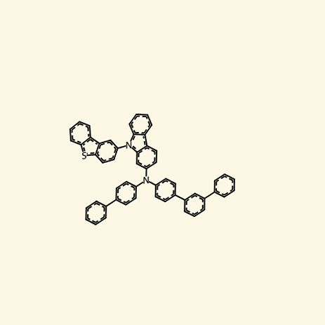 c1ccc(-c2ccc(N(c3ccc(-c4cccc(-c5ccccc5)c4)cc3)c3ccc4c5ccccc5n(-c5ccc6sc7ccccc7c6c5)c4c3)cc2)cc1